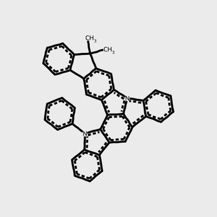 CC1(C)c2ccccc2-c2cc3c4c5c(cc6c7ccccc7n(c3cc21)c64)c1ccccc1n5-c1ccccc1